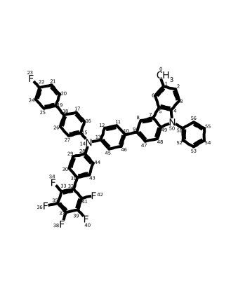 Cc1ccc2c(c1)c1cc(-c3ccc(N(c4ccc(-c5ccc(F)cc5)cc4)c4ccc(-c5c(F)c(F)c(F)c(F)c5F)cc4)cc3)ccc1n2-c1ccccc1